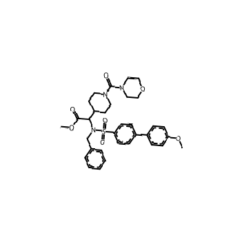 COC(=O)C(C1CCN(C(=O)N2CCOCC2)CC1)N(Cc1ccccc1)S(=O)(=O)c1ccc(-c2ccc(OC)cc2)cc1